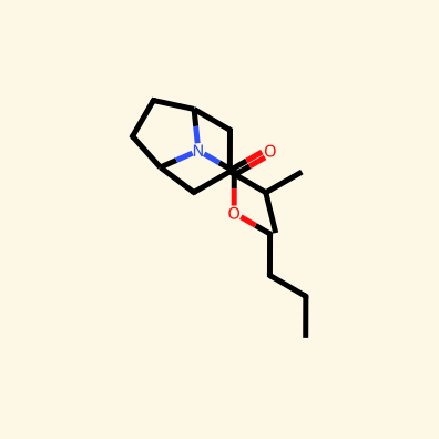 CCCCOC(=O)N1C2CCC1CC(C(C)C)C2